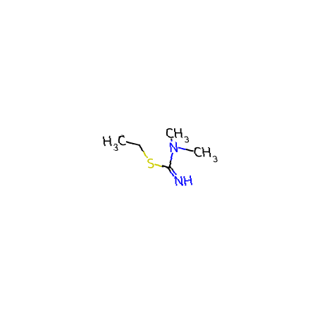 CCSC(=N)N(C)C